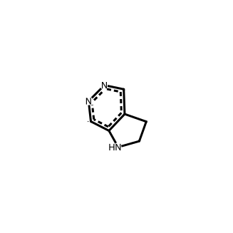 [c]1nncc2c1NCC2